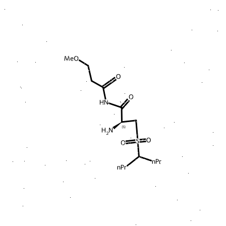 CCCC(CCC)S(=O)(=O)C[C@@H](N)C(=O)NC(=O)CCOC